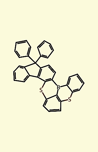 c1ccc(C2(c3ccccc3)c3ccccc3-c3c2ccc2c3Sc3cccc4c3B2c2ccccc2S4)cc1